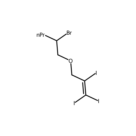 CCCC(Br)COCC(I)=C(I)I